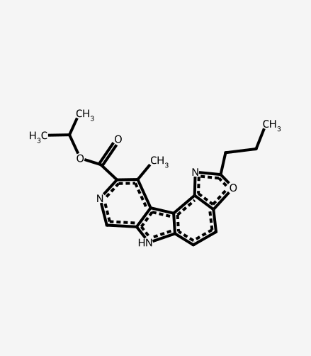 CCCc1nc2c(ccc3[nH]c4cnc(C(=O)OC(C)C)c(C)c4c32)o1